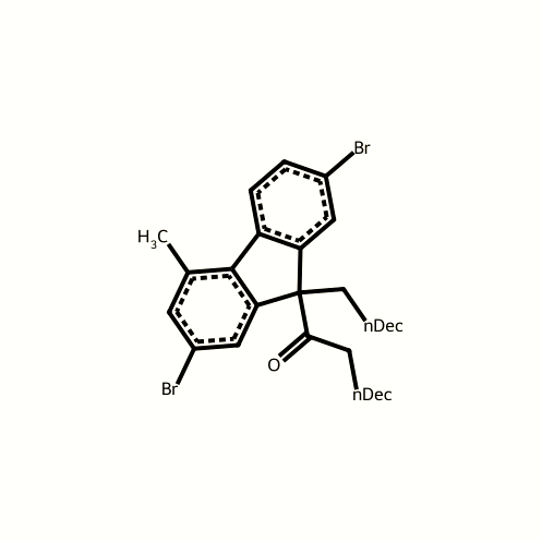 CCCCCCCCCCCC(=O)C1(CCCCCCCCCCC)c2cc(Br)ccc2-c2c(C)cc(Br)cc21